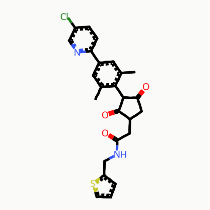 Cc1cc(-c2ccc(Cl)cn2)cc(C)c1C1C(=O)CC(CC(=O)NCc2cccs2)C1=O